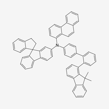 CC1(C)c2ccccc2-c2cccc(-c3ccccc3-c3ccc(N(c4ccc5c(c4)C4(CCc6ccccc64)c4ccccc4-5)c4cccc5c4ccc4ccccc45)cc3)c21